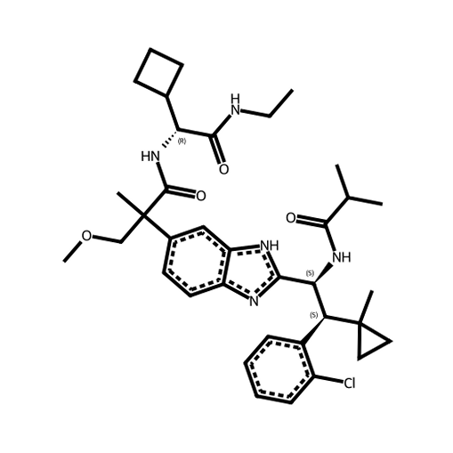 CCNC(=O)[C@H](NC(=O)C(C)(COC)c1ccc2nc([C@@H](NC(=O)C(C)C)[C@H](c3ccccc3Cl)C3(C)CC3)[nH]c2c1)C1CCC1